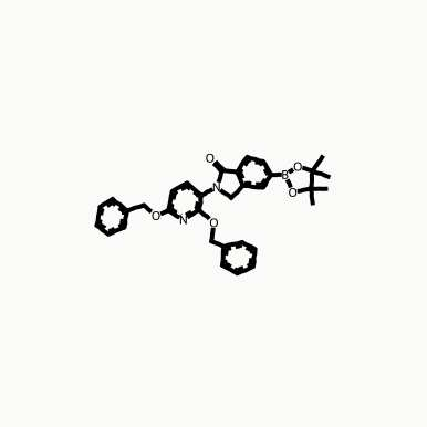 CC1(C)OB(c2ccc3c(c2)CN(c2ccc(OCc4ccccc4)nc2OCc2ccccc2)C3=O)OC1(C)C